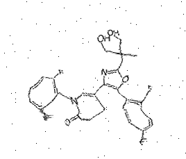 CC(CO)(CO)c1nc(C2=CN(c3c(F)cccc3F)C(=O)CC2)c(-c2ccc(F)cc2F)o1